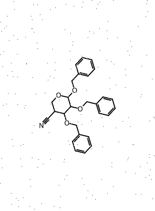 N#CC1COC(OCc2ccccc2)C(OCc2ccccc2)C1OCc1ccccc1